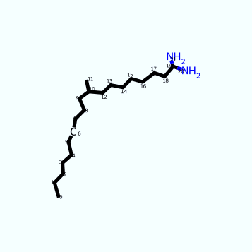 CCCCCCCCCCC(C)CCCCCCCC(N)N